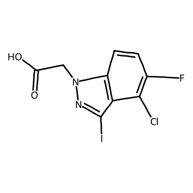 O=C(O)Cn1nc(I)c2c(Cl)c(F)ccc21